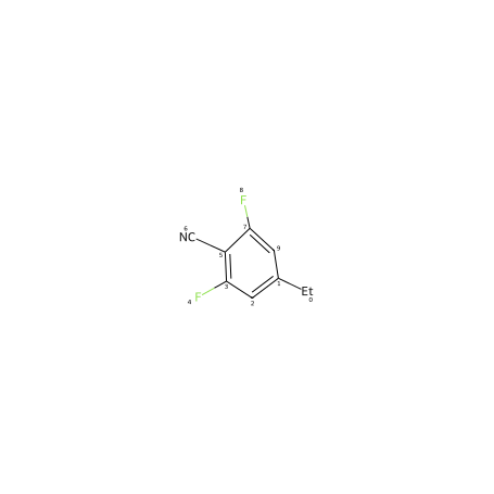 CCc1cc(F)c(C#N)c(F)c1